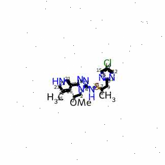 COCCn1c(NSC(C)Cc2ncc(Cl)cn2)nnc1C1=CNCC(C)=C1